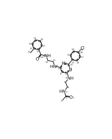 CC(=O)NCCNc1cc(NCCNC(=O)c2ccccc2C)nc(-c2ccc(Cl)cc2)n1